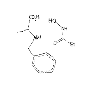 CC(NCc1ccccc1)C(=O)O.CCC(=O)NO